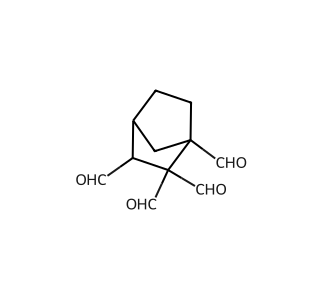 O=CC1C2CCC(C=O)(C2)C1(C=O)C=O